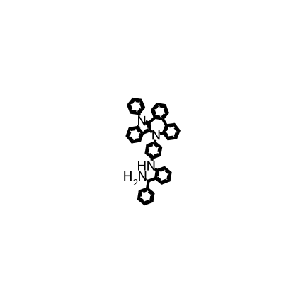 N[C@@H](c1ccccc1)c1ccccc1Nc1ccc(N2c3ccccc3-c3ccccc3-c3c2c2ccccc2n3-c2ccccc2)cc1